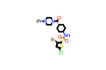 CC(C)N1CCN(C(=O)[C@H]2CC[C@H](NS(=O)(=O)c3sc(Cl)cc3Br)CC2)CC1